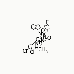 CCCN(C(=O)NCc1ccc(Cl)c(Cl)c1)N1CC(=O)N2[C@@H](Cc3ccc(F)cc3)C(=O)N(Cc3cccc4ccccc34)C[C@@H]21